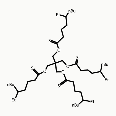 CCCCC(CC)CCCC(=S)OCC(COC(=S)CCCC(CC)CCCC)(COC(=S)CCCC(CC)CCCC)COC(=S)CCCC(CC)CCCC